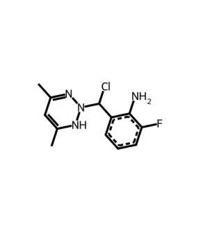 CC1=CC(C)=NN(C(Cl)c2cccc(F)c2N)N1